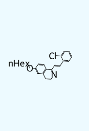 CCCCCCOc1ccc2c(c1)CCN=C2C=Cc1ccccc1Cl